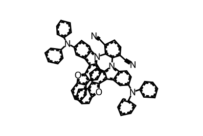 N#Cc1ccc(C#N)c(-n2c3ccc(N(c4ccccc4)c4ccccc4)cc3c3c4oc5ccccc5c4ccc32)c1-n1c2ccc(N(c3ccccc3)c3ccccc3)cc2c2c3oc4ccccc4c3ccc21